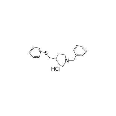 Cl.c1ccc(CN2CCC(CSc3ccccc3)CC2)cc1